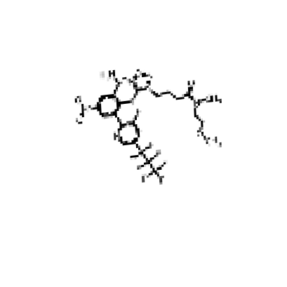 COCCN(C)C(=O)CCCn1nnnc1Sc1c(C(N)=O)cc([N+](=O)[O-])cc1-c1ncc(C(F)(F)C(F)(F)C(F)(F)F)cc1F